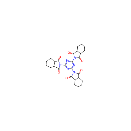 O=C1C2CCCCC2C(=O)N1c1nc(N2C(=O)C3CCCCC3C2=O)nc(N2C(=O)C3CCCCC3C2=O)n1